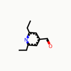 CCc1cc(C=O)cc(CC)n1